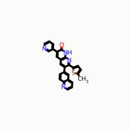 Cc1ccc(-c2nc3[nH]c(=O)c(-c4cccnc4)cc3cc2-c2ccc3ncccc3c2)s1